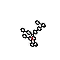 c1ccc(-c2ccc(N(c3ccc(-c4ccc(-c5ccccc5-c5ccccc5)cc4)cc3)c3ccc(-c4cccc5cccc(-c6cccc(-c7ccccc7)c6)c45)cc3)cc2)cc1